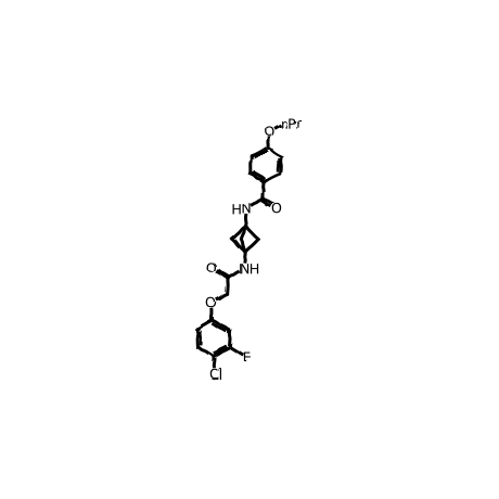 CCCOc1ccc(C(=O)NC23CC(NC(=O)COc4ccc(Cl)c(F)c4)(C2)C3)cc1